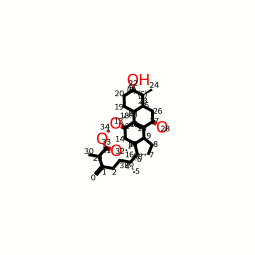 C=C(CC[C@@H](C)[C@H]1CCC2C3=C(C(=O)C[C@@]21C)[C@@]1(C)CC[C@@H](O)[C@@H](C)C1CC3=O)C(C)C(=O)OC